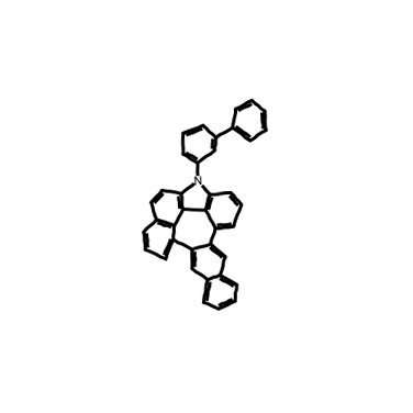 c1ccc(-c2cccc(-n3c4cccc5c4c4c6c(cccc6ccc43)-c3cc4ccccc4cc3-5)c2)cc1